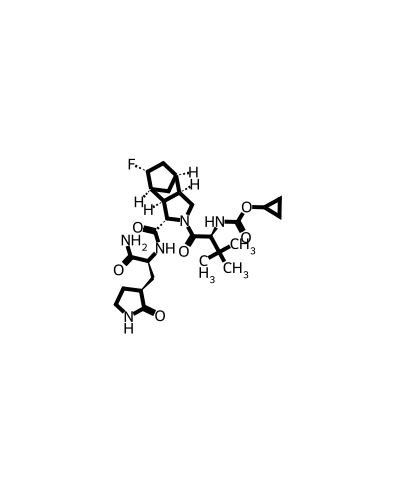 CC(C)(C)[C@H](NC(=O)OC1CC1)C(=O)N1C[C@@H]2[C@H]3C[C@@H]([C@@H]2[C@H]1C(=O)N[C@@H](C[C@@H]1CCNC1=O)C(N)=O)[C@H](F)C3